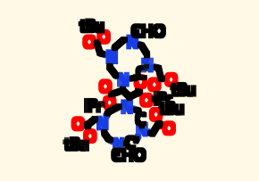 CC(C)OC(=O)C(C(C(=O)OC(C)C)N1CCN(CC(=O)OC(C)(C)C)CCN(C=O)CCN(CC(=O)OC(C)(C)C)CC1)N1CCN(CC(=O)OC(C)(C)C)CCN(C=O)CCN(CC(=O)OC(C)(C)C)CC1